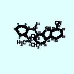 C[Si](C)(C)c1ccccc1N(I)c1cccc2c1sc1c(C#N)cccc12